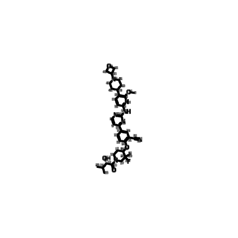 COc1nc(Nc2nccc(-c3ccc(OC4CCN(C(=O)[C@@H](O)C(C)C)CC4(F)F)c(C#N)c3)n2)ccc1C1CCN(C2COC2)CC1